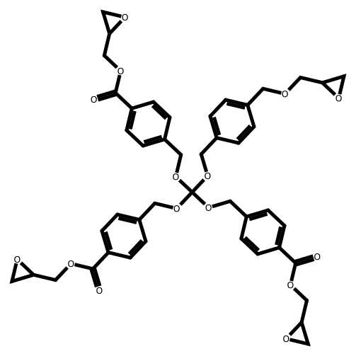 O=C(OCC1CO1)c1ccc(COC(OCc2ccc(COCC3CO3)cc2)(OCc2ccc(C(=O)OCC3CO3)cc2)OCc2ccc(C(=O)OCC3CO3)cc2)cc1